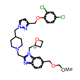 COCOCc1ccc2nc(CN3CCC(Cn4ccc(COc5ccc(Cl)cc5Cl)n4)CC3)n(C[C@@H]3CCO3)c2c1